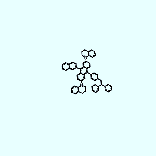 C(=C(c1ccccc1)c1ccccc1)c1ccc(-c2c3ccc(N4CCCc5ccccc54)cc3c(-c3ccc4ccccc4c3)c3ccc(N4CCCc5ccccc54)cc23)cc1